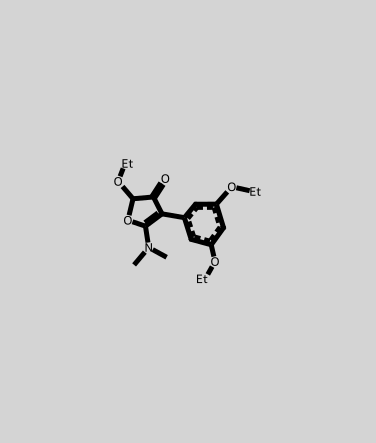 CCOc1cc(OCC)cc(C2=C(N(C)C)OC(OCC)C2=O)c1